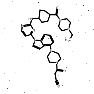 CCN1CCN(C(=O)C2CCC(Nc3nccc(-n4ccc5c(N6CCN(C(=O)CC#N)CC6)cccc54)n3)CC2)CC1